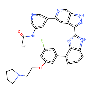 CCCC(=O)Nc1cncc(-c2cc3c(-c4nc5c(-c6cc(F)cc(OCCN7CCCC7)c6)cccc5[nH]4)n[nH]c3cn2)c1